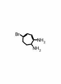 NC1=CC=C(Br)CCC1N